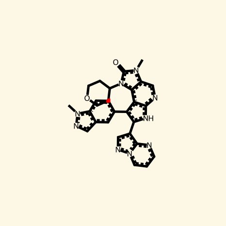 Cn1ncc2cc(-c3c(-c4cnn5cccnc45)[nH]c4ncc5c(c34)n(C3CCOCC3)c(=O)n5C)ccc21